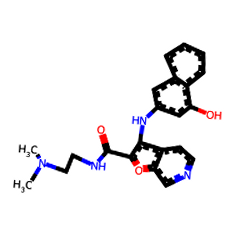 CN(C)CCNC(=O)c1oc2cnccc2c1Nc1cc(O)c2ccccc2c1